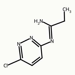 CC/C(N)=N/c1ccc(Cl)nn1